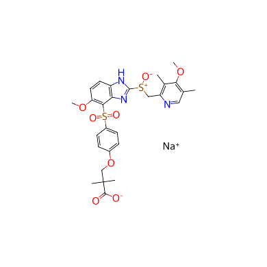 COc1ccc2[nH]c([S+]([O-])Cc3ncc(C)c(OC)c3C)nc2c1S(=O)(=O)c1ccc(OCC(C)(C)C(=O)[O-])cc1.[Na+]